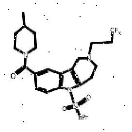 CCCS(=O)(=O)n1c2c(c3cc(C(=O)N4CCC(C)CC4)ccc31)CN(CCC(F)(F)F)CC2